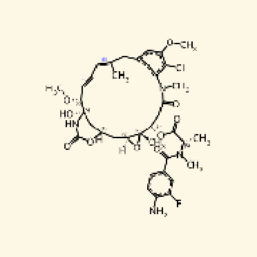 COc1cc2cc(c1Cl)N(C)C(=O)C[C@H](OC(=O)[C@H](C)N(C)C(=O)c1ccc(N)c(F)c1)[C@]1(C)O[C@H]1C[C@@H]1C[C@@](O)(NC(=O)O1)[C@H](OC)/C=C/C=C(\C)C2